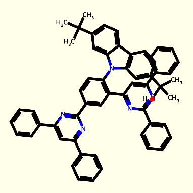 CC(C)(C)c1ccc2c3ccc(C(C)(C)C)cc3n(-c3ccc(-c4nc(-c5ccccc5)cc(-c5ccccc5)n4)cc3-c3cc(-c4ccccc4)nc(-c4ccccc4)n3)c2c1